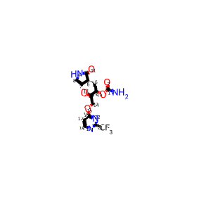 NC(=O)OC(C[C@@H]1CCNC1=O)C(=O)COc1ccnc(C(F)(F)F)n1